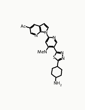 CNc1cc(-n2ccc3cc(C(C)=O)cnc32)ncc1-c1nnc(C2CCC(N)CC2)s1